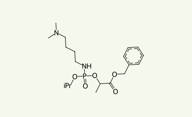 CC(C)OP(=O)(NCCCCN(C)C)OC(C)C(=O)OCc1ccccc1